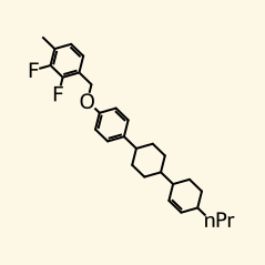 CCCC1C=CC(C2CCC(c3ccc(OCc4ccc(C)c(F)c4F)cc3)CC2)CC1